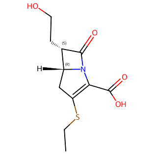 CCSC1=C(C(=O)O)N2C(=O)[C@@H](CCO)[C@H]2C1